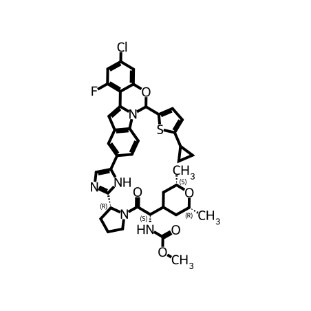 COC(=O)N[C@H](C(=O)N1CCC[C@@H]1c1ncc(-c2ccc3c(c2)cc2n3C(c3ccc(C4CC4)s3)Oc3cc(Cl)cc(F)c3-2)[nH]1)C1C[C@@H](C)O[C@@H](C)C1